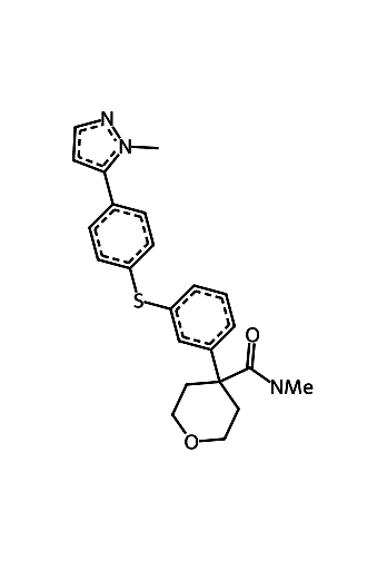 CNC(=O)C1(c2cccc(Sc3ccc(-c4ccnn4C)cc3)c2)CCOCC1